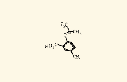 C[C@@H](Oc1ccc(C#N)cc1C(=O)O)C(F)(F)F